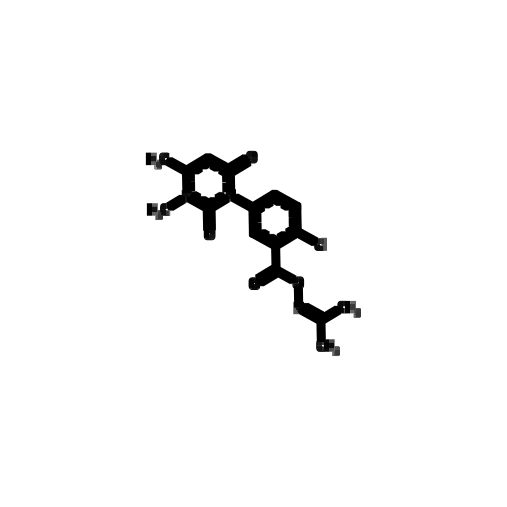 CC(C)=NOC(=O)c1cc(-n2c(=O)cc(C)n(C)c2=O)ccc1Cl